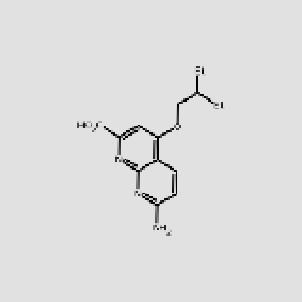 CCC(CC)COc1cc(C(=O)O)nc2nc(N)ccc12